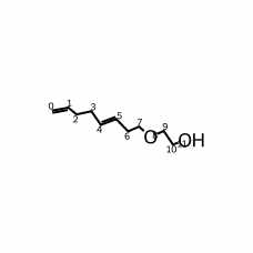 C=CCCC=CCCOCCO